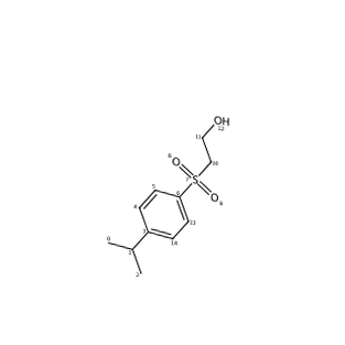 CC(C)c1ccc(S(=O)(=O)CCO)cc1